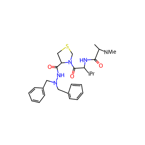 CNC(C)C(=O)NC(C(=O)N1CSCC1C(=O)NN(Cc1ccccc1)Cc1ccccc1)C(C)C